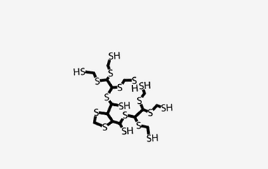 SCSC(SCS)C(SCS)SC(S)C1SCSC1C(S)SC(SCS)C(SCS)SCS